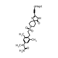 CCCCCCCC#CC1=NC2(CCN(S(=O)(=O)CCc3c(C)cc(N(C)C(N)=O)cc3C)CC2)C(=O)N1